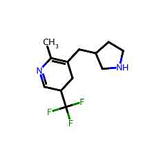 CC1=C(CC2CCNC2)CC(C(F)(F)F)C=N1